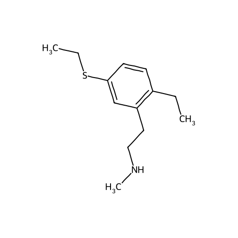 CCSc1ccc(CC)c(CCNC)c1